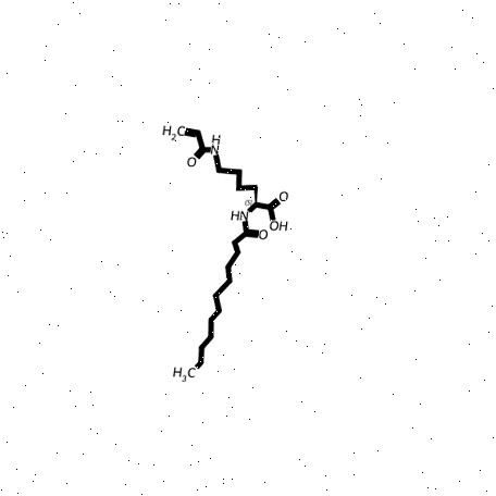 C=CC(=O)NCCCC[C@H](NC(=O)CCCCCCCCCCC)C(=O)O